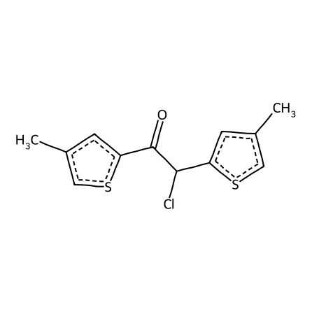 Cc1csc(C(=O)C(Cl)c2cc(C)cs2)c1